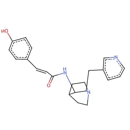 O=C(C=Cc1ccc(O)cc1)NC1C2CCN(CC2)C1Cc1cccnc1